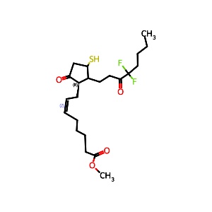 CCCCC(F)(F)C(=O)CCC1C(S)CC(=O)[C@@H]1C/C=C\CCCCC(=O)OC